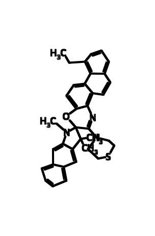 CCc1cccc2ccc3c4c(ccc3c12)OC1(C(N2CCSCC2)=N4)N(C)c2cc3ccccc3cc2C1(C)C